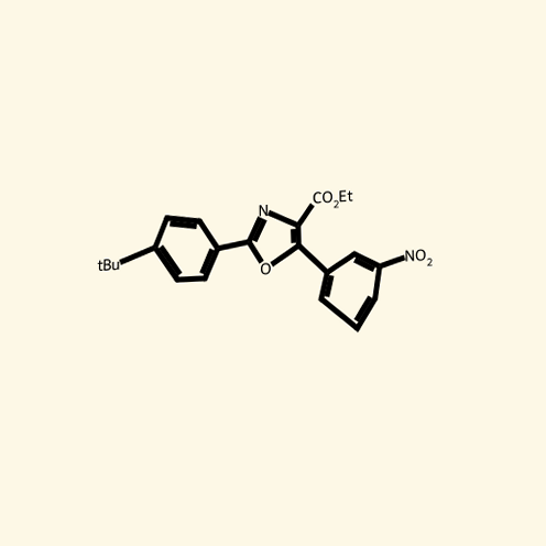 CCOC(=O)c1nc(-c2ccc(C(C)(C)C)cc2)oc1-c1cccc([N+](=O)[O-])c1